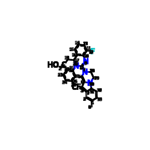 CC1=CC2=CC3=CN(C4=Nc5c(F)cccc5C(CC(=O)O)N4c4cccc(C(F)(F)F)c4)CCN3C2C=C1